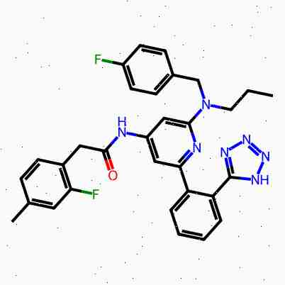 CCCN(Cc1ccc(F)cc1)c1cc(NC(=O)Cc2ccc(C)cc2F)cc(-c2ccccc2-c2nnn[nH]2)n1